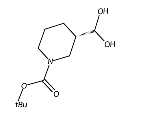 CC(C)(C)OC(=O)N1CCC[C@H](C(O)O)C1